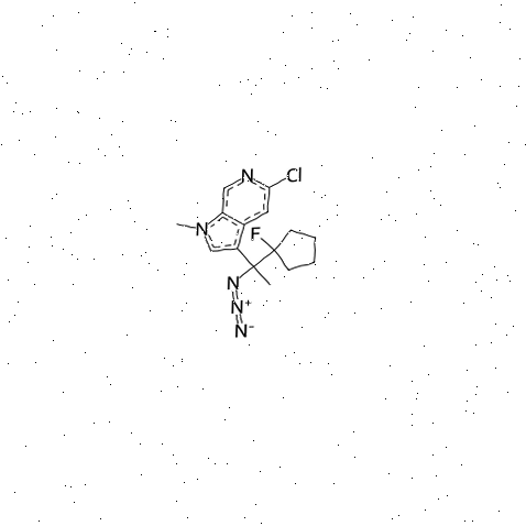 Cn1cc(C(C)(N=[N+]=[N-])C2(F)CCCC2)c2cc(Cl)ncc21